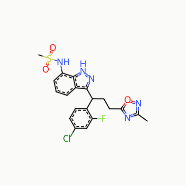 Cc1noc(CCC(c2ccc(Cl)cc2F)c2n[nH]c3c(NS(C)(=O)=O)cccc23)n1